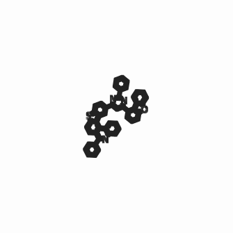 c1ccc(-c2nc(-c3ccc4sc5ccc6c(-c7ccccc7)nc7ccccc7c6c5c4c3)cc(-c3cccc4oc5ccccc5c34)n2)cc1